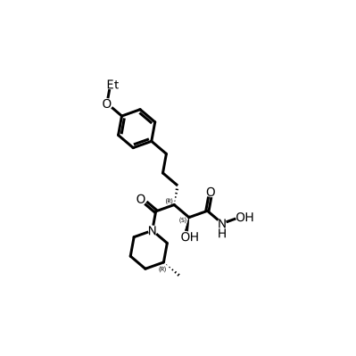 CCOc1ccc(CCC[C@@H](C(=O)N2CCC[C@@H](C)C2)[C@H](O)C(=O)NO)cc1